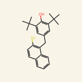 CC(C)(C)c1cc(Cc2c(S)ccc3ccccc23)cc(C(C)(C)C)c1O